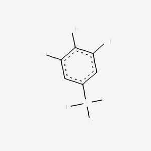 Cc1cc([B-](F)(F)F)cc(C)c1O.[K+]